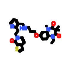 CCN1C(=O)C(C)(C)C(=O)N(C)c2cc(OCCCNCc3cccnc3CCn3ccc4ccsc4c3=O)ccc21